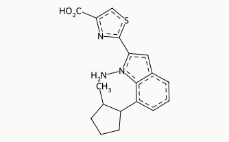 CC1CCCC1c1cccc2cc(-c3nc(C(=O)O)cs3)n(N)c12